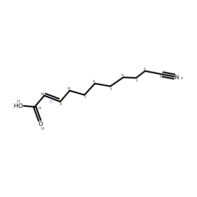 N#CCCCCCCC/C=C/C(=O)O